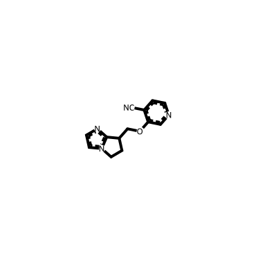 N#Cc1ccncc1OCC1CCn2ccnc21